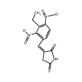 CCc1c([N+](=O)[O-])ccc(C=C2SC(=S)NC2=O)c1[N+](=O)[O-]